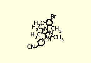 [C-]#[N+]CC1CCN(c2nc(C)nc3c2c(C)c(C)n3-c2c(C)cc(Br)cc2C)CC1